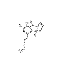 CCCCCCc1cc(Cl)c(O)c(C(=O)c2ccc[nH]2)c1O